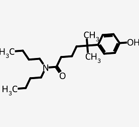 CCCCN(CCCC)C(=O)CCCC(C)(C)c1ccc(O)cc1